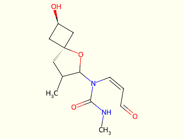 CNC(=O)N(/C=C\C=O)C1O[C@]2(CC1C)C[C@H](O)C2